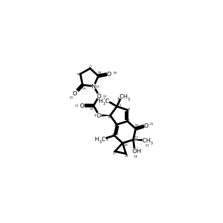 CC1=C2C(=CC(C)(C)[C@@H]2OC(=O)ON2C(=O)CCC2=O)C(=O)[C@](C)(O)C12CC2